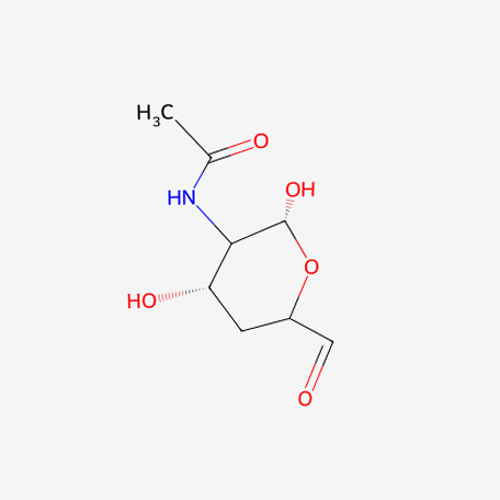 CC(=O)NC1[C@H](O)OC(C=O)C[C@@H]1O